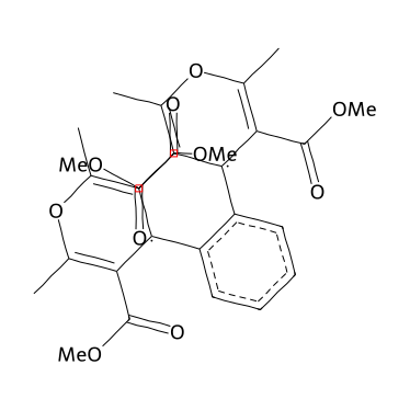 COC(=O)C1=C(C)OC(C)=C(C(=O)OC)[C]1c1ccccc1[C]1C(C(=O)OC)=C(C)OC(C)=C1C(=O)OC